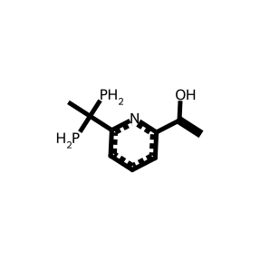 C=C(O)c1cccc(C(C)(P)P)n1